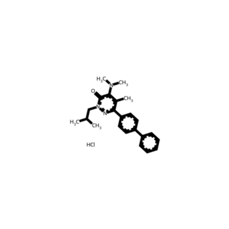 Cc1c(-c2ccc(-c3ccccc3)cc2)nn(CC(C)C)c(=O)c1N(C)C.Cl